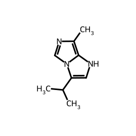 Cc1ncn2c(C(C)C)c[nH]c12